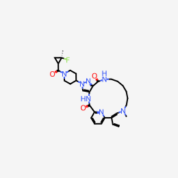 C=C/C1=C\N(C)CCCCCCNC(=O)c2nn(C3CCN(C(=O)C4C[C@@]4(C)F)CC3)cc2NC(=O)c2cccc1n2